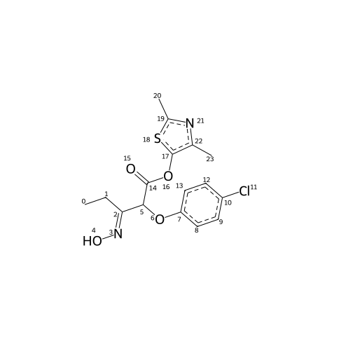 CCC(=NO)C(Oc1ccc(Cl)cc1)C(=O)Oc1sc(C)nc1C